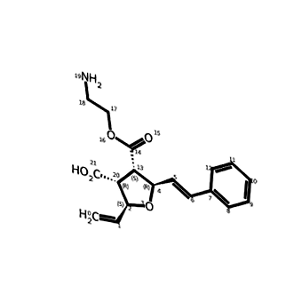 C=C[C@@H]1O[C@H](C=Cc2ccccc2)[C@@H](C(=O)OCCN)[C@H]1C(=O)O